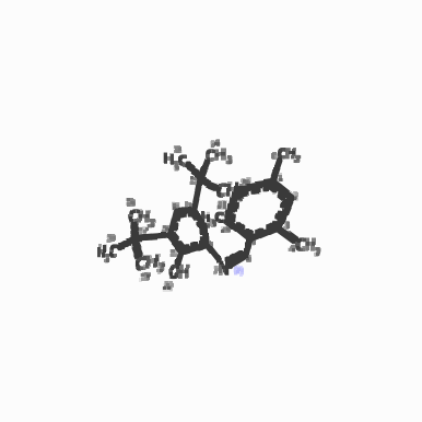 Cc1cc(C)c(/C=N\c2cc(C(C)(C)C)cc(C(C)(C)C)c2O)c(C)c1